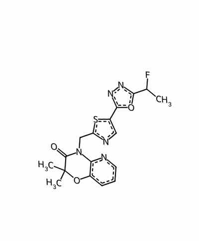 CC(F)c1nnc(-c2cnc(CN3C(=O)C(C)(C)Oc4cccnc43)s2)o1